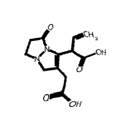 C=CC(C(=O)O)C1=C(CC(=O)O)CN2CCC(=O)N12